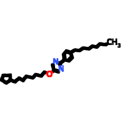 CCCCCCCCCc1ccc(-c2ncc(OCCCCCCCCC3CCCC3)cn2)cc1